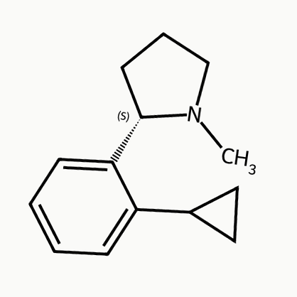 CN1CCC[C@H]1c1ccccc1C1CC1